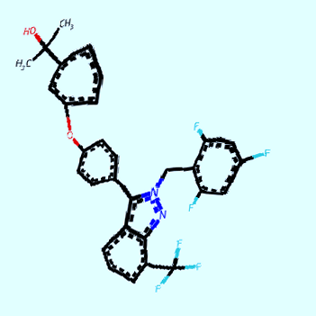 CC(C)(O)c1cccc(Oc2ccc(-c3c4cccc(C(F)(F)F)c4nn3Cc3c(F)cc(F)cc3F)cc2)c1